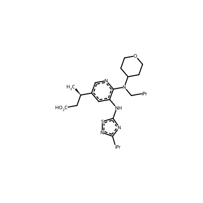 CC(C)CN(c1ncc([C@H](C)CC(=O)O)cc1Nc1nc(C(C)C)ns1)C1CCOCC1